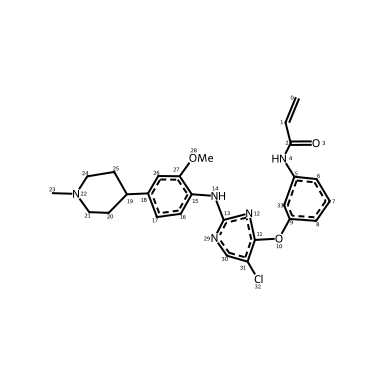 C=CC(=O)Nc1cccc(Oc2nc(Nc3ccc(C4CCN(C)CC4)cc3OC)ncc2Cl)c1